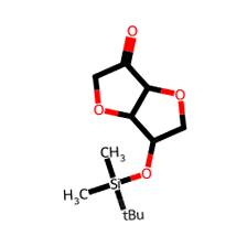 CC(C)(C)[Si](C)(C)OC1COC2C(=O)COC12